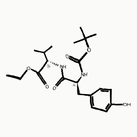 CCOC(=O)[C@@H](NC(=O)[C@H](Cc1ccc(O)cc1)NC(=O)OC(C)(C)C)C(C)C